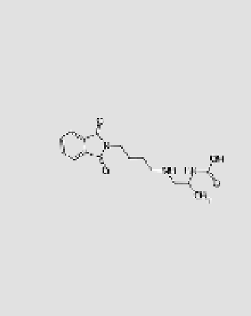 CC(CNCCCCN1C(=O)c2ccccc2C1=O)NC(=O)O